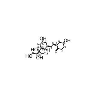 C=C1CC[C@@H](O)C/C1=C/C=C1\C[C@H](O)C[C@@]2(C)[C@H]1CC[C@]2(O)[C@H](O)CO